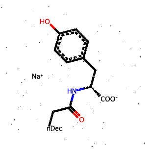 CCCCCCCCCCCC(=O)N[C@@H](Cc1ccc(O)cc1)C(=O)[O-].[Na+]